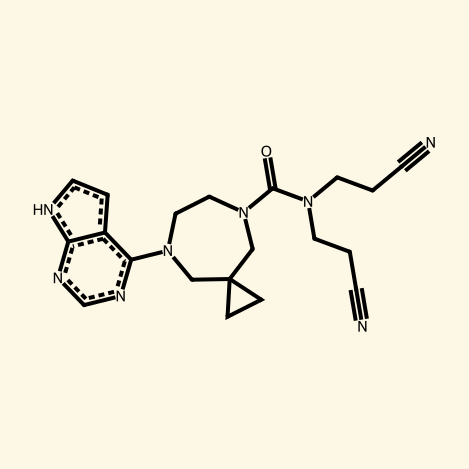 N#CCCN(CCC#N)C(=O)N1CCN(c2ncnc3[nH]ccc23)CC2(CC2)C1